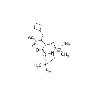 CC(=O)C(=O)C(CC1CCC1)NC(=O)[C@@H]1C2C(CN1C(=O)[C@@H](C)C(C)(C)C)C2(C)C